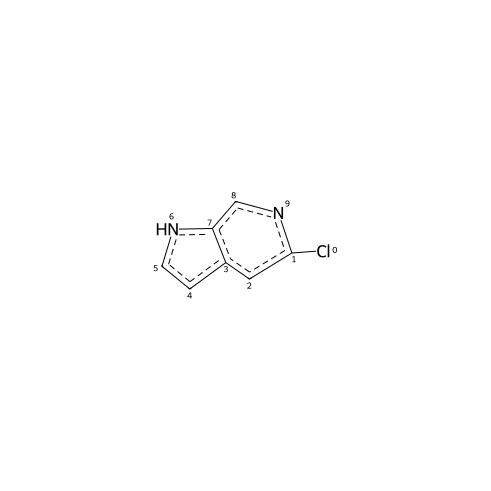 Clc1cc2cc[nH]c2cn1